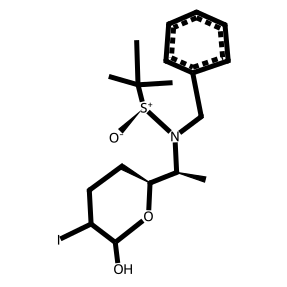 C[C@@H]([C@@H]1CCC(I)C(O)O1)N(Cc1ccccc1)[S@@+]([O-])C(C)(C)C